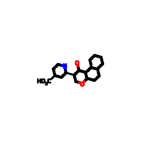 O=C(O)c1ccnc(-c2coc3ccc4ccccc4c3c2=O)c1